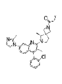 C=CC(=O)N1CC2(CCN(c3nc4cc(-n5ccnc5C)ccc4c(-c4ccccc4Cl)c3C)[C@H]2C)C1